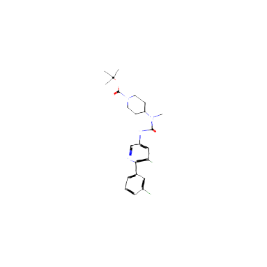 CN(C(=O)Nc1cnc(-c2cccc(F)c2)c(Cl)c1)C1CCN(C(=O)OC(C)(C)C)CC1